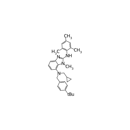 Cc1cc(C)c(Nc2nc3cccc(N(Cc4ccc(C(C)(C)C)cc4)CC4CC4)c3n2C)c(C)c1